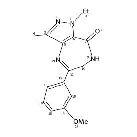 CCn1nc(C)c2c1C(=O)NCC(c1cccc(OC)c1)=N2